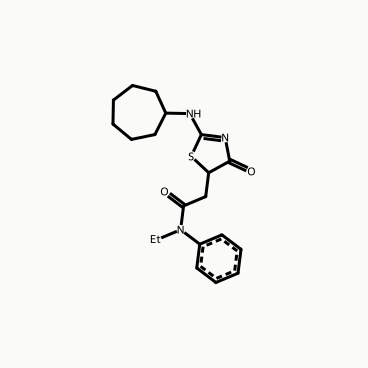 CCN(C(=O)CC1SC(NC2CCCCCC2)=NC1=O)c1ccccc1